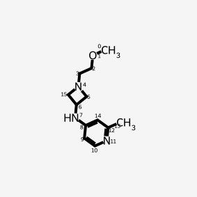 COCCN1CC(Nc2ccnc(C)c2)C1